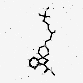 CNC(=O)C1=CC2(CCN(CCC(C)CCCC(C)(C)OC)CC2)c2ccccc21